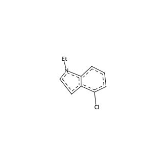 CCn1ccc2c(Cl)cccc21